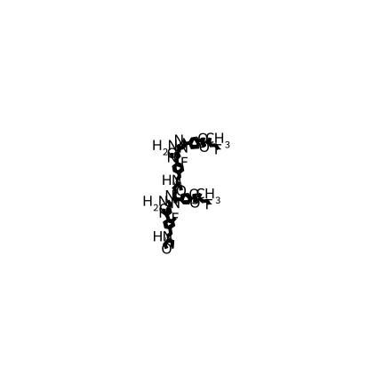 CC(CCF)S(=O)(=O)c1ccc(-c2cnc(N)c(-c3cc(-c4ccc(CN[C@H]5COC(c6nc(N)c(-c7cc(-c8ccc(CN[C@H]9CCOC9)cc8F)no7)nc6-c6ccc(S(=O)(=O)C(C)CCF)cc6)C5)cc4F)no3)n2)cc1